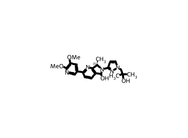 COc1cc(-c2ccc3c(n2)[C@H](C)N(c2ccn(CC(C)(C)O)n2)C3O)cnc1OC